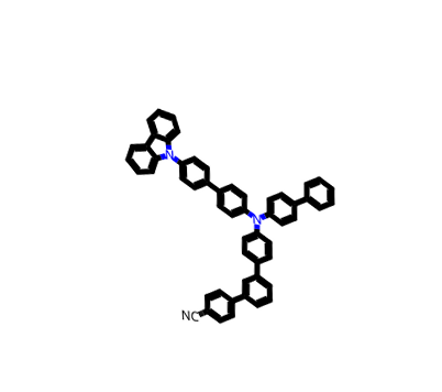 N#Cc1ccc(-c2cccc(-c3ccc(N(c4ccc(-c5ccccc5)cc4)c4ccc(-c5ccc(-n6c7ccccc7c7ccccc76)cc5)cc4)cc3)c2)cc1